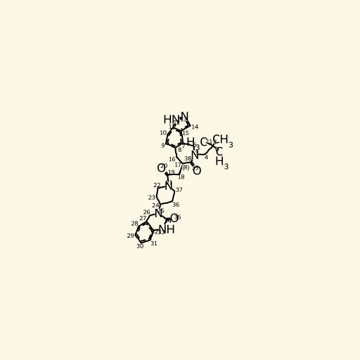 CC(C)(C)CN1Cc2c(ccc3[nH]ncc23)C[C@H](CC(=O)N2CCC(N3Cc4ccccc4NC3=O)CC2)C1=O